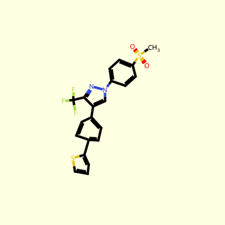 CS(=O)(=O)c1ccc(-n2cc(-c3ccc(-c4cccs4)cc3)c(C(F)(F)F)n2)cc1